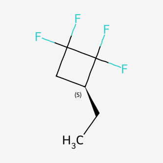 CC[C@H]1CC(F)(F)C1(F)F